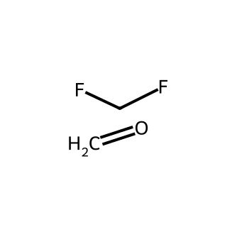 C=O.FCF